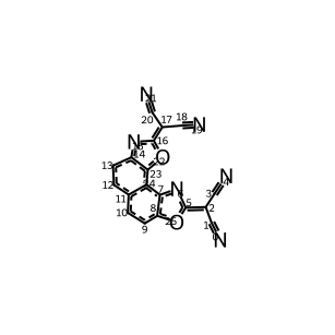 N#CC(C#N)=c1nc2c(ccc3ccc4nc(=C(C#N)C#N)oc4c32)o1